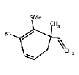 C=CC1(C)CC=CC(Br)=C1SC